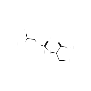 CC(C)COC(=O)NC(CO)C(=O)O